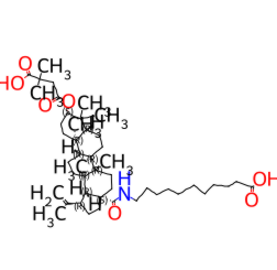 C=C(C)[C@@H]1CC[C@]2(C(=O)NCCCCCCCCCCC(=O)O)CC[C@]3(C)[C@H](CC[C@@H]4[C@@]5(C)CC[C@H](OC(=O)CC(C)(C)C(=O)O)C(C)(C)[C@@H]5CC[C@]43C)[C@@H]12